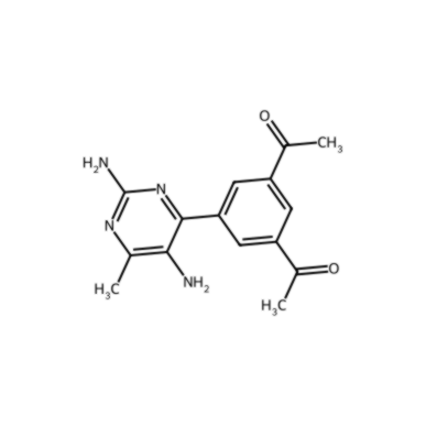 CC(=O)c1cc(C(C)=O)cc(-c2nc(N)nc(C)c2N)c1